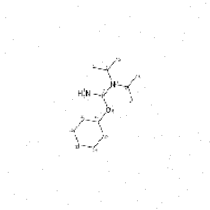 CC(C)N(C(C)C)P(N)OC1CCCCC1